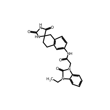 CCn1c(=O)n(CC(=O)Nc2ccc3c(c2)CCC2(C3)NC(=O)NC2=O)c2ccccc21